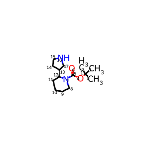 CC(C)(C)OC(=O)N1CCCCC1[C@H]1CCNC1